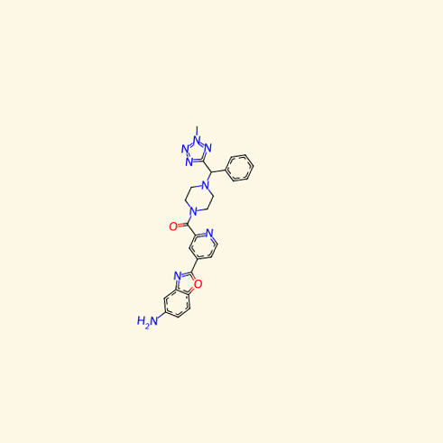 Cn1nnc(C(c2ccccc2)N2CCN(C(=O)c3cc(-c4nc5cc(N)ccc5o4)ccn3)CC2)n1